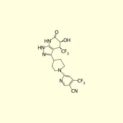 N#Cc1cnc(N2CCC(c3n[nH]c4c3[C@H](C(F)(F)F)[C@H](O)C(=O)N4)CC2)cc1C(F)(F)F